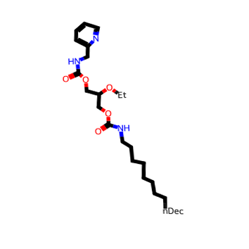 CCCCCCCCCCCCCCCCCCNC(=O)OCC(COC(=O)NCc1ccccn1)OCC